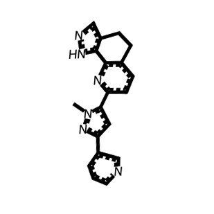 Cn1nc(-c2cccnc2)cc1-c1ccc2c(n1)-c1[nH]ncc1CC2